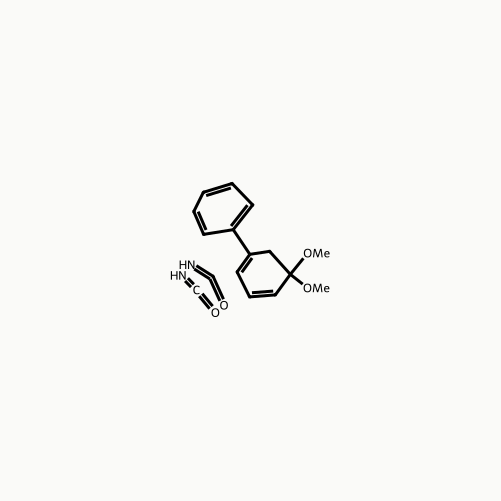 COC1(OC)C=CC=C(c2ccccc2)C1.N=C=O.N=C=O